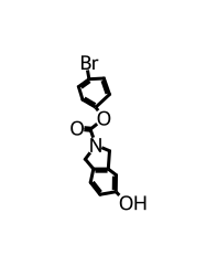 O=C(Oc1ccc(Br)cc1)N1Cc2ccc(O)cc2C1